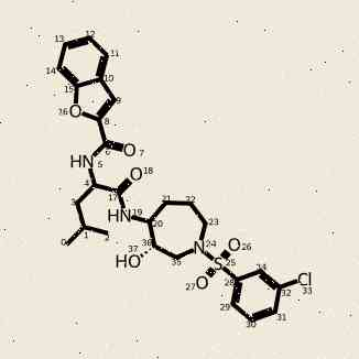 CC(C)CC(NC(=O)c1cc2ccccc2o1)C(=O)NC1CCCN(S(=O)(=O)c2cccc(Cl)c2)C[C@@H]1O